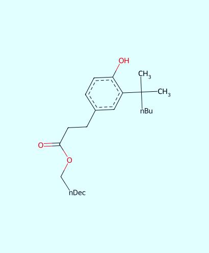 CCCCCCCCCCCOC(=O)CCc1ccc(O)c(C(C)(C)CCCC)c1